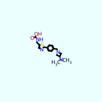 CN(C)C1CN(Cc2ccc(-c3ncc(CNC(=O)O)s3)cc2)C1